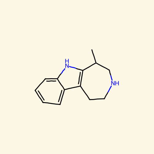 CC1CNCCc2c1[nH]c1ccccc21